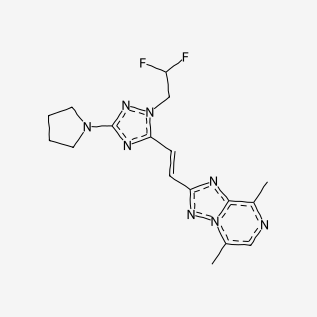 Cc1ncc(C)n2nc(C=Cc3nc(N4CCCC4)nn3CC(F)F)nc12